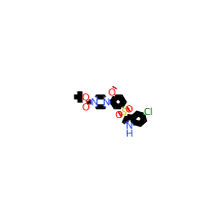 COc1ccc(S(=O)(=O)c2c[nH]c3ccc(Cl)cc23)cc1N1CCN(C(=O)OC(C)(C)C)CC1